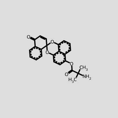 CC(C)(N)C(=O)Oc1ccc2c3c(cccc13)OC1(C=CC(=O)c3ccccc31)O2